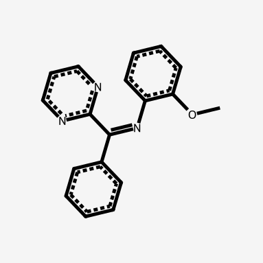 COc1ccccc1N=C(c1ccccc1)c1ncccn1